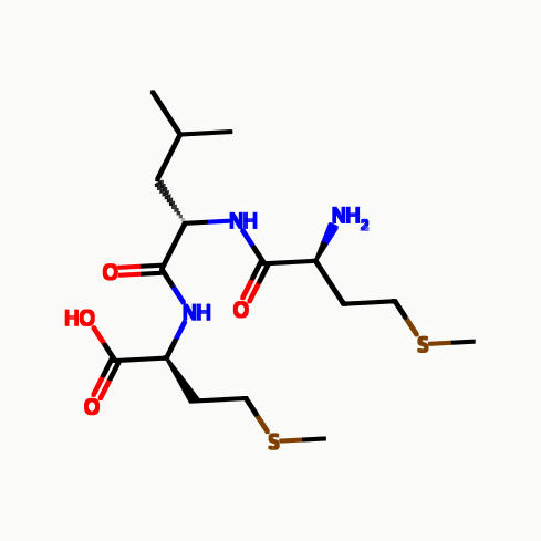 CSCC[C@H](NC(=O)[C@H](CC(C)C)NC(=O)[C@@H](N)CCSC)C(=O)O